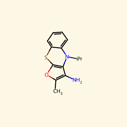 Cc1oc2c(c1N)N(C(C)C)c1ccccc1S2